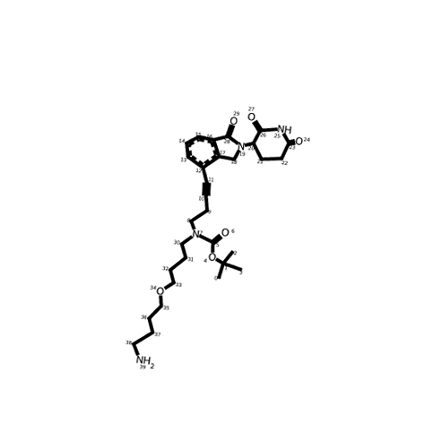 CC(C)(C)OC(=O)N(CCC#Cc1cccc2c1CN(C1CCC(=O)NC1=O)C2=O)CCCCOCCCCN